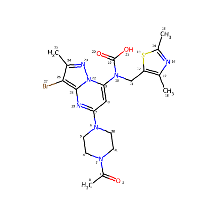 CC(=O)N1CCN(c2cc(N(Cc3sc(C)nc3C)C(=O)O)n3nc(C)c(Br)c3n2)CC1